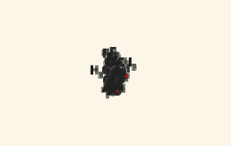 Cc1nc(N[C@H](C)c2cccc(C(F)F)c2F)c(C2OCCO2)c(C(O[C@H]2CCOC2)C(=O)NC2(C(F)F)CC2)n1